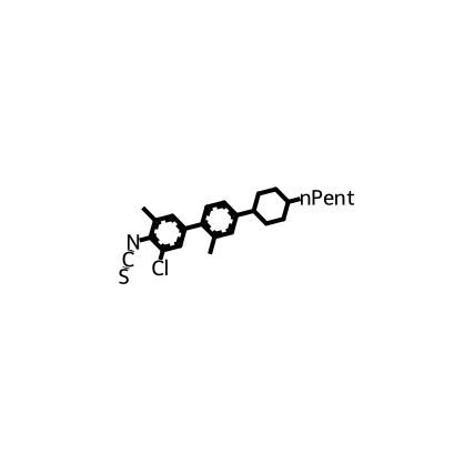 CCCCCC1CCC(c2ccc(-c3cc(C)c(N=C=S)c(Cl)c3)c(C)c2)CC1